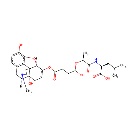 CC(C)C[C@H](NC(=O)[C@H](C)OC(O)CCC(=O)OC1=CC[C@@]2(O)[C@H]3Cc4ccc(O)c5c4C2(CCN3C)[C@H]1O5)C(=O)O